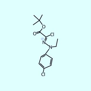 CCN(/N=C(\Cl)C(=O)OC(C)(C)C)c1ccc(Cl)cc1